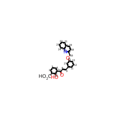 O=C(O)c1cccc(C(=O)C=Cc2cccc(OCc3ccc4ccccc4n3)c2)c1O